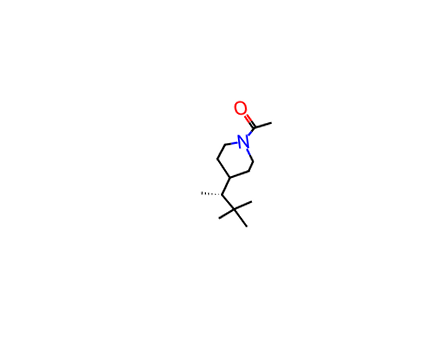 CC(=O)N1CCC([C@@H](C)C(C)(C)C)CC1